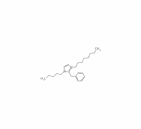 CCCCCCCC[n+]1ccn(CCCCC)c1Cc1ccccc1